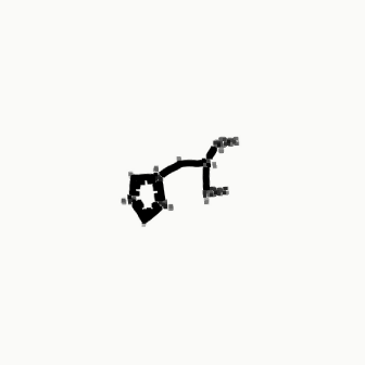 CCCCCCCCCCN(CCCCCCCCCC)Cn1cncn1